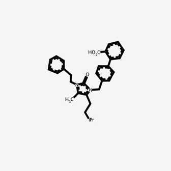 Cc1c(CCC(C)C)n(Cc2ccc(-c3ccccc3C(=O)O)cc2)c(=O)n1CCc1ccccc1